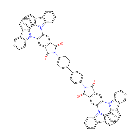 O=C1c2cc(-n3c4ccccc4c4ccccc43)c(-n3c4ccccc4c4ccccc43)cc2C(=O)N1C1=CC=C(c2ccc(N3C(=O)c4cc(-n5c6ccccc6c6ccccc65)c(-n5c6ccccc6c6ccccc65)cc4C3=O)cc2)CC1